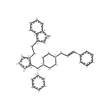 C(=C\c1ccccc1)/CN1CCN([C@H](c2ccccc2)c2nnnn2CCc2c[nH]c3ccccc23)CC1